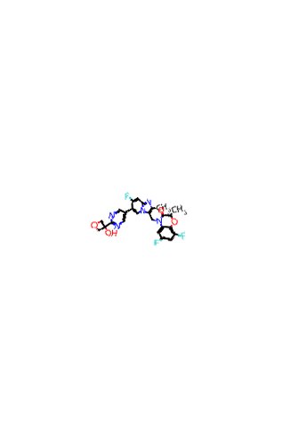 Cc1nc2cc(F)c(-c3cnc(C4(O)COC4)nc3)cn2c1CN1C(=O)[C@@H](C)Oc2c(F)cc(F)cc21